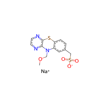 COCN1c2cc(CS(=O)(=O)[O-])ccc2Sc2nccnc21.[Na+]